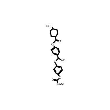 COC(=O)Oc1ccc(OC(O)c2ccc(OC(=O)C3CCC(C(=O)O)CC3)cc2)cc1